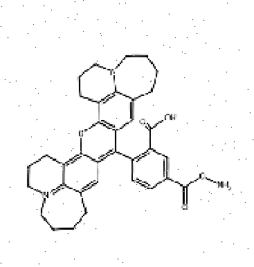 NOC(=O)c1ccc(C2=c3cc4c5c(c3Oc3c2cc2c6c3CCCN6CCCC2)CCC[N+]=5CCCC4)c(C(=O)O)c1